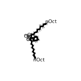 CCCCCCCCC=CCCCCCCCCC(CCCCCCCCC=CCCCCCCCC)(c1ccccc1)P(=O)(O)O